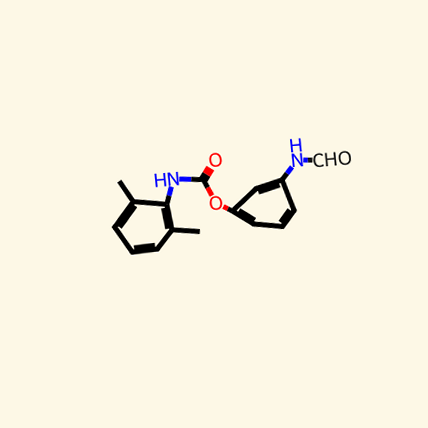 Cc1cccc(C)c1NC(=O)Oc1cccc(NC=O)c1